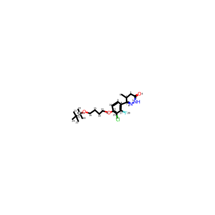 CC1CC(=O)NN=C1c1ccc(OCCCCO[Si](C)(C)C(C)(C)C)c(Cl)c1F